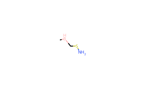 CBCSN